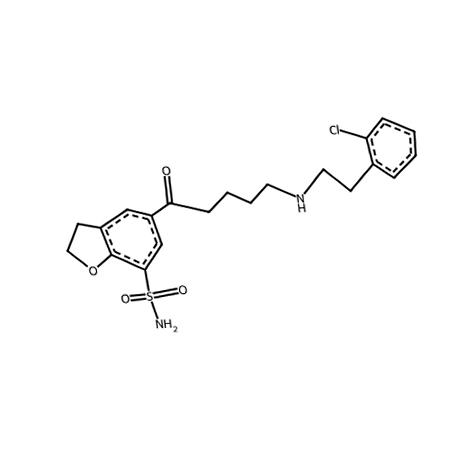 NS(=O)(=O)c1cc(C(=O)CCCCNCCc2ccccc2Cl)cc2c1OCC2